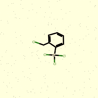 ClCc1ccccc1[Si](Cl)(Cl)Cl